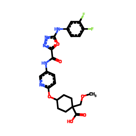 COCC1(C(=O)O)CCC(Oc2ccc(NC(=O)c3nnc(Nc4ccc(F)c(F)c4)o3)cn2)CC1